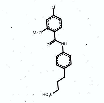 COc1cc(Cl)ccc1C(=O)Nc1ccc(CCCC(=O)O)cc1